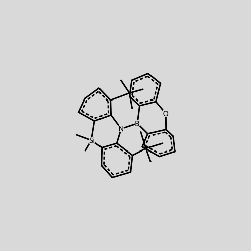 CC(C)(C)c1cccc2c1N(B1c3ccccc3Oc3ccccc31)c1c(C(C)(C)C)cccc1[Si]2(C)C